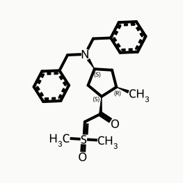 C[C@@H]1C[C@H](N(Cc2ccccc2)Cc2ccccc2)C[C@@H]1C(=O)C=S(C)(C)=O